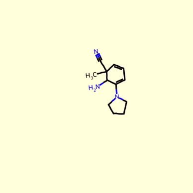 CC1(C#N)C=CC=C(N2CCCC2)C1N